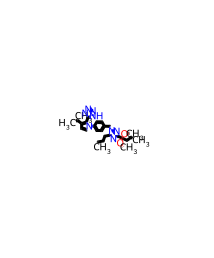 CCCCc1nc(C(CCC)(OC)OC)nn1Cc1ccc(-n2ccc(C(C)C)c2-c2nnn[nH]2)cc1